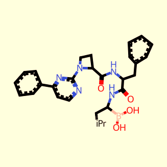 CC(C)CC(NC(=O)C(Cc1ccccc1)NC(=O)C1CCN1c1nccc(-c2ccccc2)n1)B(O)O